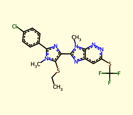 CCSc1c(-c2nc3cc(SC(F)(F)F)nnc3n2C)nc(-c2ccc(Cl)cc2)n1C